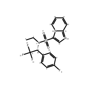 CCN([C@H](c1ccc(F)cc1)C(F)(F)F)S(=O)(=O)c1cnc2ccccn12